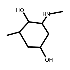 CNC1CC(O)CC(C)C1O